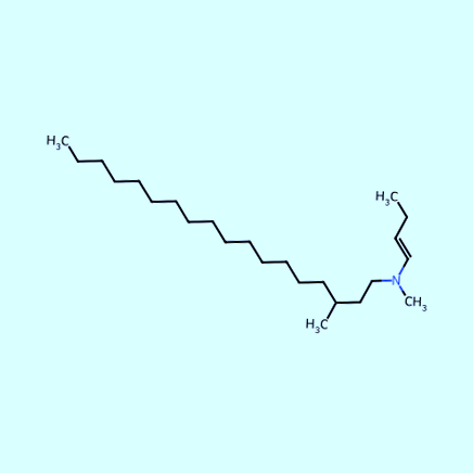 CCC=CN(C)CCC(C)CCCCCCCCCCCCCCC